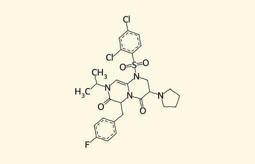 CC(C)N1C=C2N(C(=O)C(N3CCCC3)CN2S(=O)(=O)c2ccc(Cl)cc2Cl)C(Cc2ccc(F)cc2)C1=O